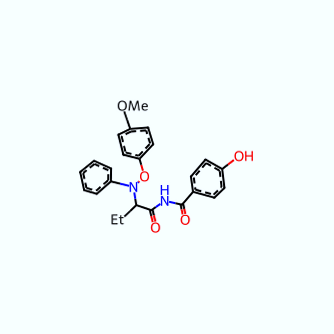 CCC(C(=O)NC(=O)c1ccc(O)cc1)N(Oc1ccc(OC)cc1)c1ccccc1